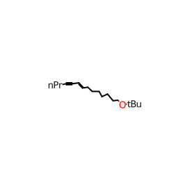 CCCC#CC=CCCCCCCCOC(C)(C)C